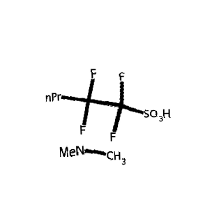 CCCC(F)(F)C(F)(F)S(=O)(=O)O.CNC